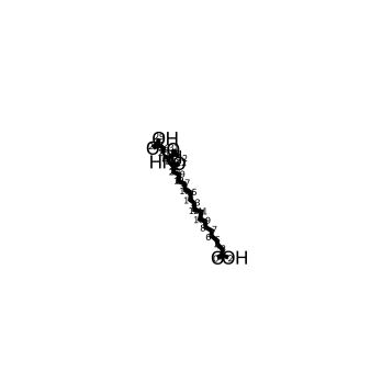 O=C(O)CCCCCCCCCCCCCCCCCCC(=O)N[C@@H](CCC(=O)O)C(=O)I